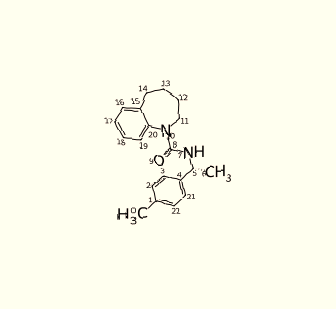 Cc1ccc([C@@H](C)NC(=O)N2CCCCc3ccccc32)cc1